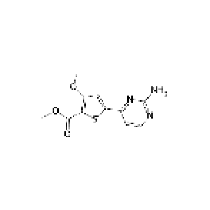 COC(=O)c1sc(-c2ccnc(N)n2)cc1OC